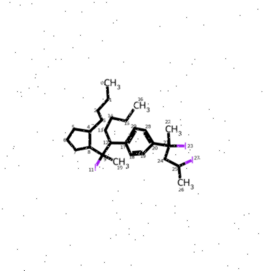 CCCCC1CCCC1C(C)(I)C(CCCC)c1ccc(C(C)(I)CC(C)I)cc1